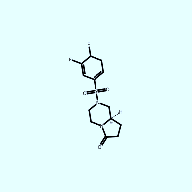 O=C1CC[C@@H]2CN(S(=O)(=O)C3=CCC(F)C(F)=C3)CCN12